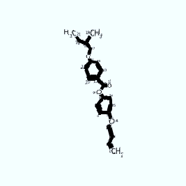 C=CCCOc1ccc(OC(=O)c2ccc(OCC(C)CC)cc2)cc1